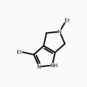 CCc1n[nH]c2c1CN(CC)C2